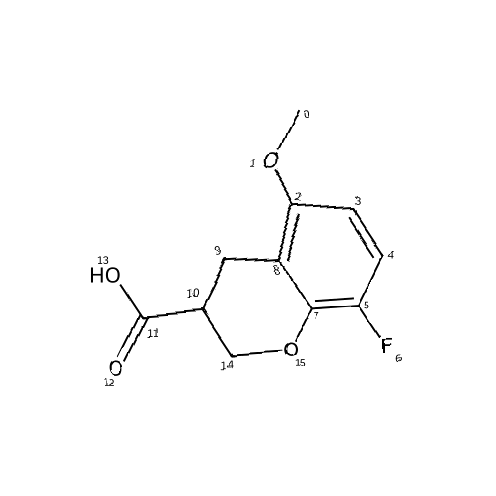 COc1ccc(F)c2c1CC(C(=O)O)CO2